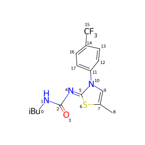 CCC(C)NC(=O)N=c1sc(C)cn1-c1ccc(C(F)(F)F)cc1